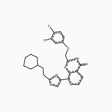 O=c1[nH]c(COc2ccc(F)c(Cl)c2)nc2c(-c3csc(CCC4CCCCC4)n3)nccc12